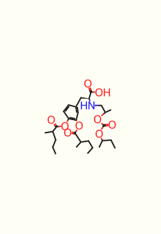 CCCC(C)C(=O)Oc1ccc(C[C@H](NCC(C)OC(=O)OC(C)CC)C(=O)O)cc1OC(=O)C(C)CCC